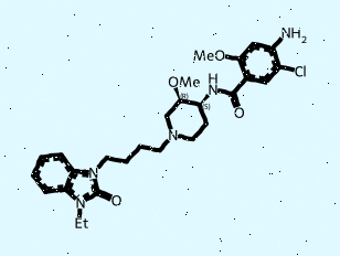 CCn1c(=O)n(CCCCN2CC[C@H](NC(=O)c3cc(Cl)c(N)cc3OC)[C@H](OC)C2)c2ccccc21